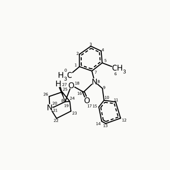 Cc1cccc(C)c1N(Cc1ccccc1)C(=O)O[C@H]1CN2CCC1CC2